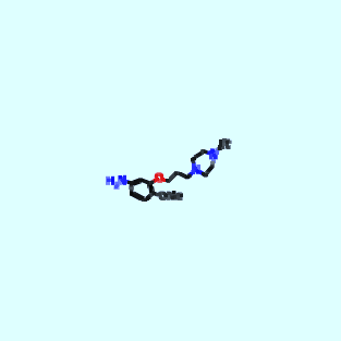 CCN1CCN(CCCOc2cc(N)ccc2OC)CC1